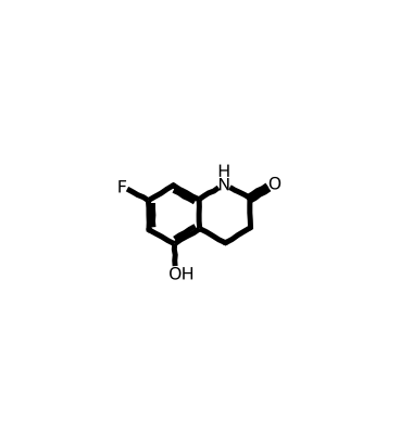 O=C1CCc2c(O)cc(F)cc2N1